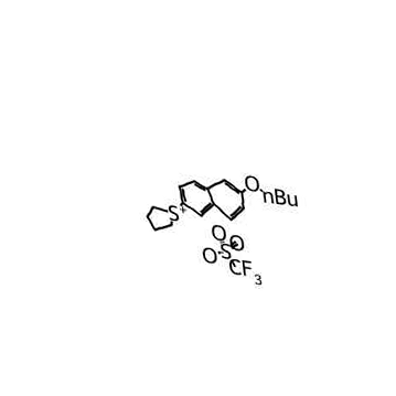 CCCCOc1ccc2cc([S+]3CCCC3)ccc2c1.O=S(=O)([O-])C(F)(F)F